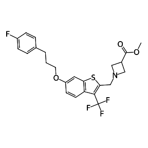 COC(=O)C1CN(Cc2sc3cc(OCCCc4ccc(F)cc4)ccc3c2C(F)(F)F)C1